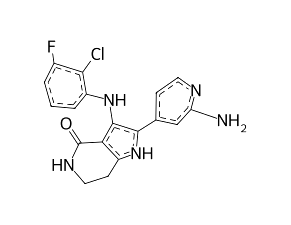 Nc1cc(-c2[nH]c3c(c2Nc2cccc(F)c2Cl)C(=O)NCC3)ccn1